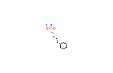 NS(=O)(=O)CCOCCc1ccccc1